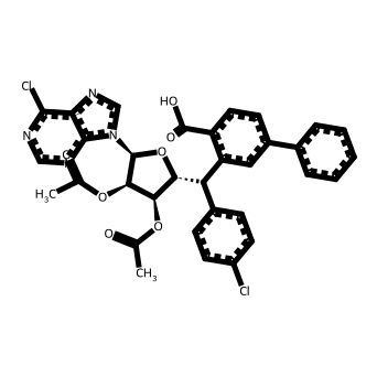 CC(=O)O[C@@H]1[C@H](OC(C)=O)[C@@H](C(c2ccc(Cl)cc2)c2cc(-c3ccccc3)ccc2C(=O)O)O[C@@H]1n1cnc2c(Cl)ncnc21